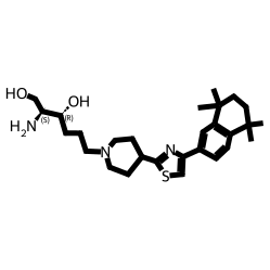 CC1(C)CCC(C)(C)c2cc(-c3csc(C4CCN(CCC[C@@H](O)[C@@H](N)CO)CC4)n3)ccc21